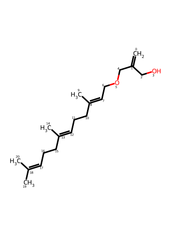 C=C(CO)COC/C=C(\C)CC/C=C(\C)CCC=C(C)C